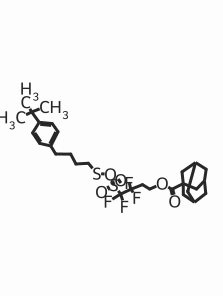 CC(C)(C)c1ccc(CCCCSOS(=O)(=O)C(F)(F)C(F)(F)CCOC(=O)C23CC4CC(CC(C4)C2)C3)cc1